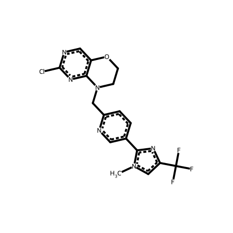 Cn1cc(C(F)(F)F)nc1-c1ccc(CN2CCOc3cnc(Cl)nc32)nc1